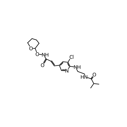 CC(C)C(=O)NCCNc1ncc(/C=C/C(=O)NOC2CCCCO2)cc1Cl